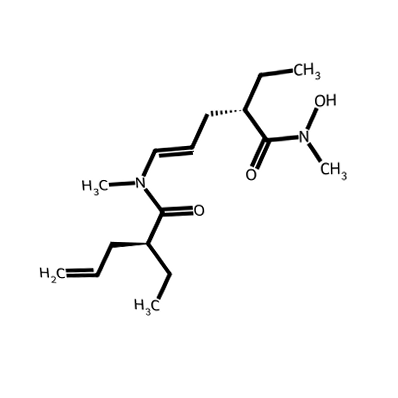 C=CC[C@H](CC)C(=O)N(C)/C=C/C[C@H](CC)C(=O)N(C)O